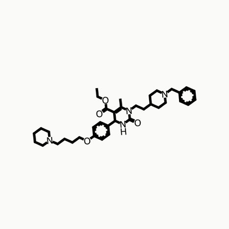 CCOC(=O)C1=C(C)N(CCC2CCN(Cc3ccccc3)CC2)C(=O)NC1c1ccc(OCCCCN2CCCCC2)cc1